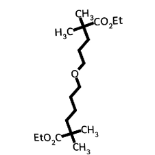 CCOC(=O)C(C)(C)CCCCOCCCC(C)(C)C(=O)OCC